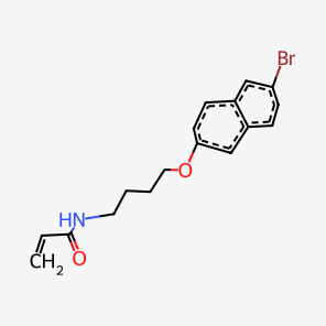 C=CC(=O)NCCCCOc1ccc2cc(Br)ccc2c1